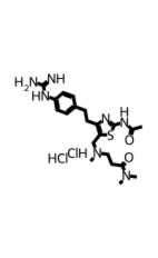 CC(=O)Nc1nc(CCc2ccc(NC(=N)N)cc2)c(CN(C)CCC(=O)N(C)C)s1.Cl.Cl